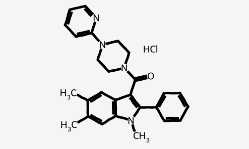 Cc1cc2c(C(=O)N3CCN(c4ccccn4)CC3)c(-c3ccccc3)n(C)c2cc1C.Cl